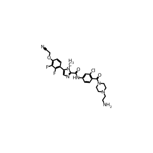 Cn1c(-c2ccc(OCC#N)c(F)c2F)cnc1C(=O)Nc1ccc(C(=O)N2CCN(CCN)CC2)c(Cl)c1